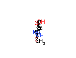 COCCNc1cncc(-c2cccc(/C=C/C(=O)O)c2)n1